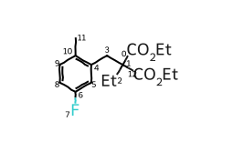 CCOC(=O)C(CC)(Cc1cc(F)ccc1C)C(=O)OCC